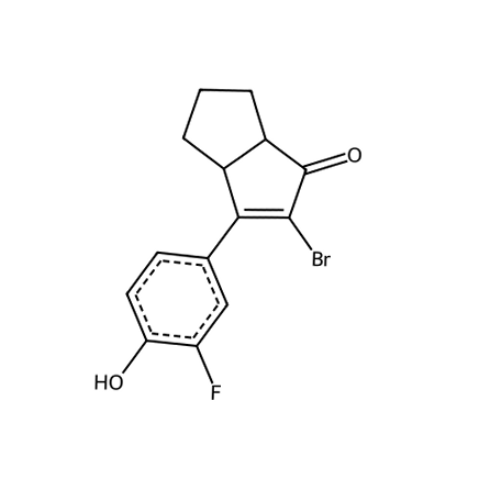 O=C1C(Br)=C(c2ccc(O)c(F)c2)C2CCCC12